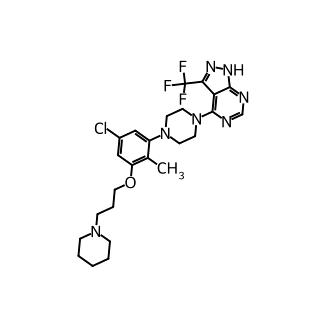 Cc1c(OCCCN2CCCCC2)cc(Cl)cc1N1CCN(c2ncnc3[nH]nc(C(F)(F)F)c23)CC1